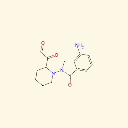 Nc1cccc2c1CN(N1CCCCC1C(=O)C=O)C2=O